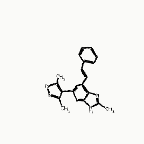 Cc1nc2c(C=Cc3ccccc3)cc(-c3c(C)noc3C)cc2[nH]1